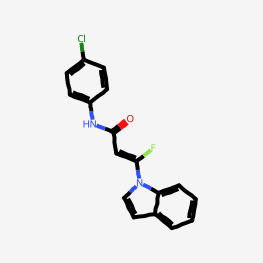 O=C(C=C(F)n1ccc2ccccc21)Nc1ccc(Cl)cc1